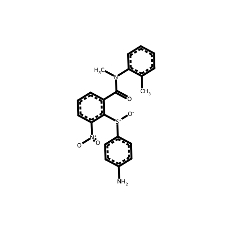 Cc1ccccc1N(C)C(=O)c1cccc([N+](=O)[O-])c1[S+]([O-])c1ccc(N)cc1